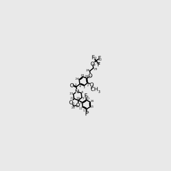 COc1cc(C(=O)N2CCC3(c4cc(F)ccc4F)OCOC3C2)ccc1OCCOC(F)(F)F